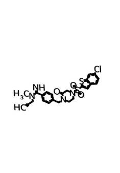 C#CCN(C)C(=N)c1ccc(CN2CCN(S(=O)(=O)c3cc4ccc(Cl)cc4s3)CC2=O)cc1